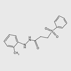 Cc1ccccc1NNC(=O)CCS(=O)(=O)c1ccccc1